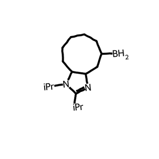 BC1CCCCCC2C(C1)N=C(C(C)C)N2C(C)C